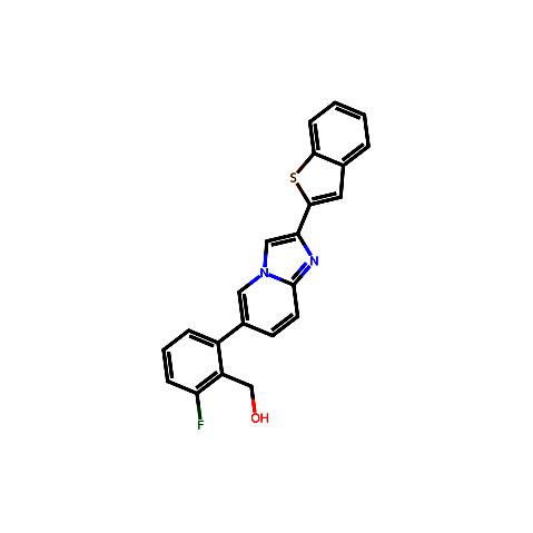 OCc1c(F)cccc1-c1ccc2nc(-c3cc4ccccc4s3)cn2c1